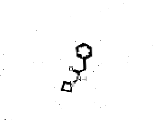 O=C(Cc1cc[c]cc1)NN1CCC1